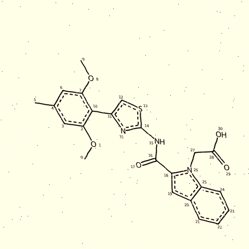 COc1cc(C)cc(OC)c1-c1csc(NC(=O)c2cc3ccccc3n2CC(=O)O)n1